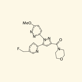 COc1ccc(-n2nc(C(=O)N3CCOCC3)cc2-c2ccc(CF)cn2)nn1